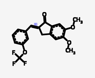 COc1cc2c(cc1OC)C(=O)/C(=C/c1cccc(OC(F)(F)F)c1)C2